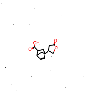 O=C1CC(C23C=CC(C2)C(C(=O)O)C3)CO1